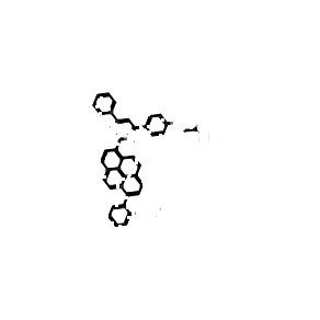 CCCCC(CC)COc1ccc(-c2cc(-c3ccccc3)nc(-c3ccc4ccc5c(-c6ccccc6OC)ccc6ccc3c4c65)n2)c(O)c1